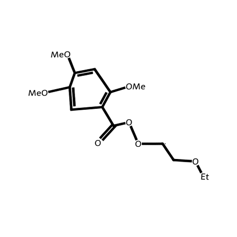 CCOC[CH]OOC(=O)c1cc(OC)c(OC)cc1OC